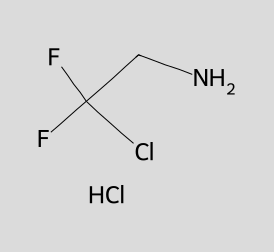 Cl.NCC(F)(F)Cl